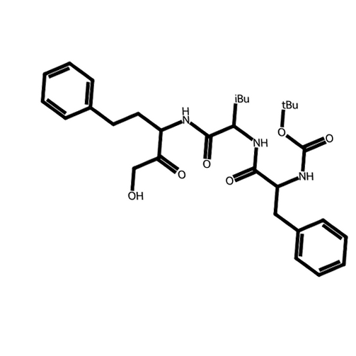 CCC(C)C(NC(=O)C(Cc1ccccc1)NC(=O)OC(C)(C)C)C(=O)NC(CCc1ccccc1)C(=O)CO